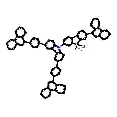 C[Si]1(C)c2cc(-c3cc4ccccc4c4ccccc34)ccc2-c2ccc(-n3c4ccc(-c5ccc(-c6cc7ccccc7c7ccccc67)cc5)cc4c4cc(-c5ccc(-c6cc7ccccc7c7ccccc67)cc5)ccc43)cc21